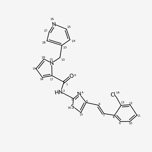 O=C(Nc1nc(/C=C/c2ccccc2Cl)cs1)c1cccn1Cc1ccncc1